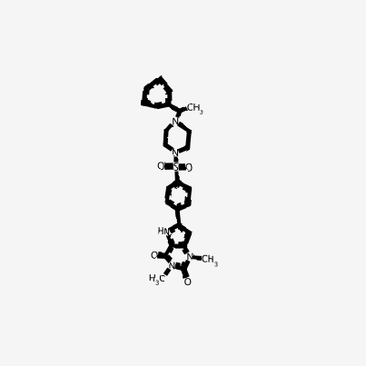 CC(c1ccccc1)N1CCN(S(=O)(=O)c2ccc(-c3cc4c([nH]3)c(=O)n(C)c(=O)n4C)cc2)CC1